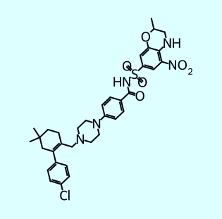 CC1CNc2c(cc(S(=O)(=O)NC(=O)c3ccc(N4CCN(CC5=C(c6ccc(Cl)cc6)CC(C)(C)CC5)CC4)cc3)cc2[N+](=O)[O-])O1